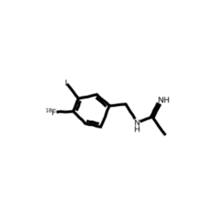 CC(=N)NCc1ccc([18F])c(I)c1